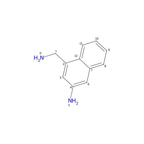 NCc1cc(N)cc2ccccc12